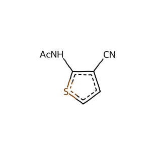 [CH2]C(=O)Nc1sccc1C#N